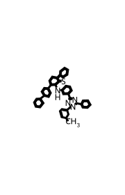 CC1C=CC=C(c2nc(-c3ccccc3)nc(-c3cccc(Nc4c(-c5ccc(-c6ccccc6)cc5)ccc5c4sc4ccccc45)c3)n2)C1